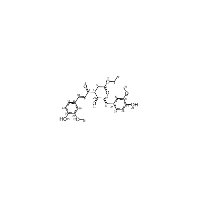 CCOC(=O)CC(C(=O)/C=C/c1ccc(O)c(OC)c1)C(=O)/C=C/c1ccc(O)c(OC)c1